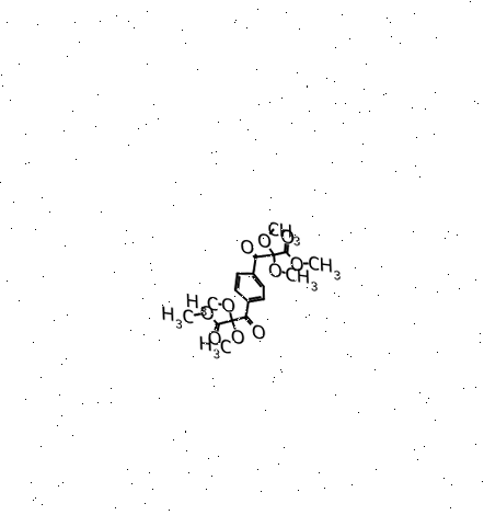 COC(=O)C(OC)(OC)C(=O)c1ccc(C(=O)C(OC)(OC)C(=O)OC)cc1